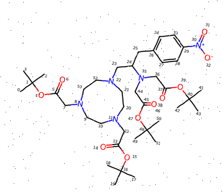 CC(C)(C)OC(=O)CN1CCN(CC(=O)OC(C)(C)C)CCN(CC(Cc2ccc([N+](=O)[O-])cc2)N(CC(=O)OC(C)(C)C)CC(=O)OC(C)(C)C)CC1